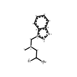 CCCCC(CC)CN(C)Cn1nnc2ccccc21